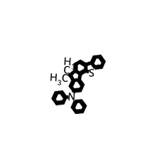 CC1(C)c2cc(N(c3ccccc3)c3ccccc3)ccc2-c2c1ccc1c2sc2ccccc21